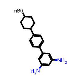 CCCCC1CCC(c2ccc(-c3cc(N)cc(N)c3)cc2)CC1